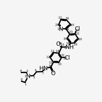 CCN(CC)CCCNC(=O)c1ccc(C(=O)Nc2ccc(Cl)c(-c3ccccn3)c2)c(Cl)c1